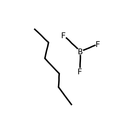 CCCCCC.FB(F)F